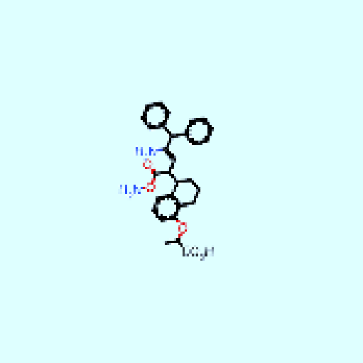 CC(Oc1cccc2c1CCCC2C(C=C(N)C(c1ccccc1)c1ccccc1)C(=O)ON)C(=O)O